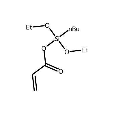 C=CC(=O)O[Si](CCCC)(OCC)OCC